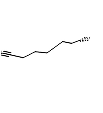 B#CCCCCCCCCC